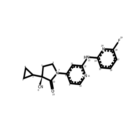 N#C[C@@]1(C2CC2)CCN(c2ccnc(Nc3cccc(F)n3)c2)C1=O